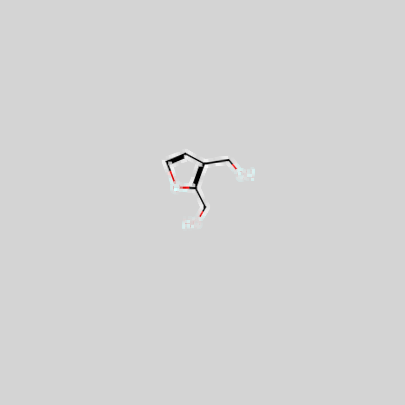 OCc1ccoc1CO